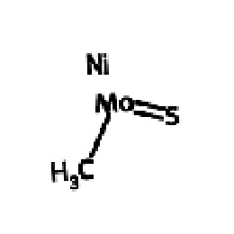 [CH3][Mo]=[S].[Ni]